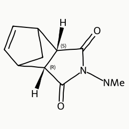 CNN1C(=O)[C@@H]2C3C=CC(C3)[C@@H]2C1=O